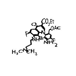 CCOC(=O)c1cn(-c2cc(N)c(F)cc2COC(C)=O)c2c(Br)c(NCCCN(C)C)c(F)cc2c1=O